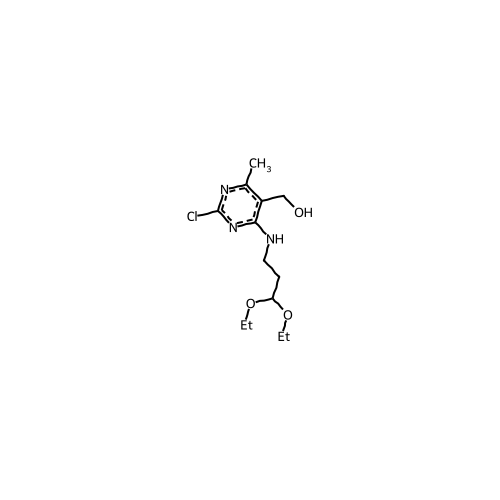 CCOC(CCNc1nc(Cl)nc(C)c1CO)OCC